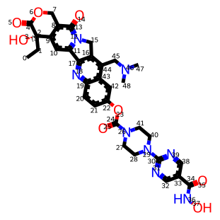 CC[C@@]1(O)C(=O)OCc2c1cc1n(c2=O)Cc2c-1nc1ccc(OC(=O)N3CCN(c4ncc(C(=O)NO)cn4)CC3)cc1c2CN(C)C